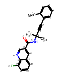 COc1ccccc1C#CC(C)(C)NC(=O)c1cnc2c(F)cccc2c1